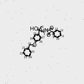 CC(O)(CNS(=O)(=O)c1ccccc1)c1ccc(OCc2ccccc2)cc1